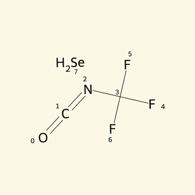 O=C=NC(F)(F)F.[SeH2]